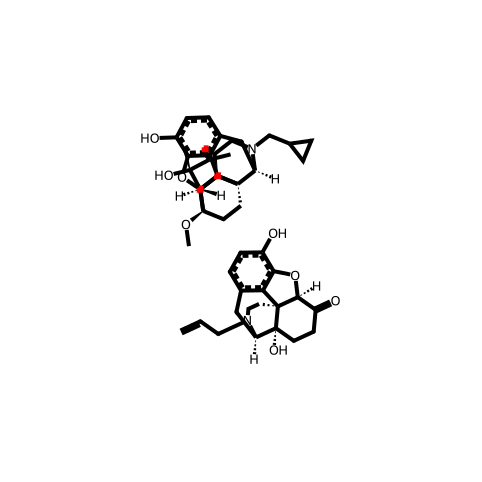 C=CCN1CC[C@]23c4c5ccc(O)c4O[C@H]2C(=O)CC[C@@]3(O)[C@H]1C5.CO[C@]12CC[C@@]3(C[C@@H]1[C@](C)(O)C(C)(C)C)[C@H]1Cc4ccc(O)c5c4[C@@]3(CCN1CC1CC1)[C@H]2O5